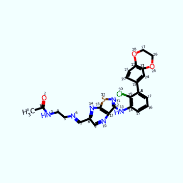 CC(=O)NCCN=Cc1cnc2c(Nc3cccc(-c4ccc5c(c4)OCCO5)c3Cl)nsc2n1